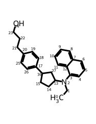 CCN(c1cccc2ccccc12)C1CCC(c2ccc(CCCO)cc2)C1